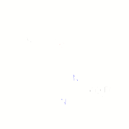 CCOC(=O)c1ccncc1NCCCOc1cccc(C(F)(F)F)c1